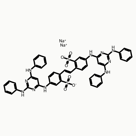 O=S(=O)([O-])c1cc(Nc2cc(Nc3ccccc3)nc(Nc3ccccc3)n2)ccc1C=Cc1ccc(Nc2cc(Nc3ccccc3)nc(Nc3ccccc3)n2)cc1S(=O)(=O)[O-].[Na+].[Na+]